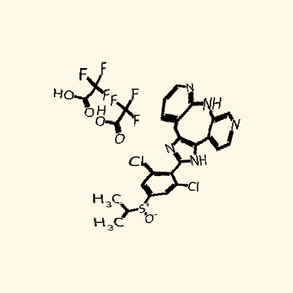 CC(C)[S+]([O-])c1cc(Cl)c(-c2nc3c([nH]2)-c2ccncc2Nc2ncccc2-3)c(Cl)c1.O=C(O)C(F)(F)F.O=C(O)C(F)(F)F